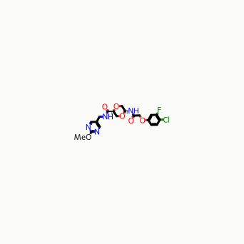 COc1ncc(CNC(=O)[C@@H]2CO[C@@H](NC(=O)COc3ccc(Cl)c(F)c3)CO2)cn1